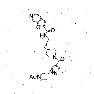 CC(=O)N1CCC(n2cc(C(=O)N3CCC4(CC3)CC4CNC(=O)c3cc4ccncc4o3)cn2)C1